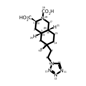 O=C(O)[C@@H]1C[C@H]2CC(F)(CCn3cnnn3)CC[C@H]2CN1C(=O)O